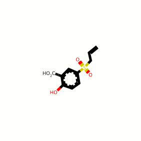 C=CCS(=O)(=O)c1ccc(O)c(C(=O)O)c1